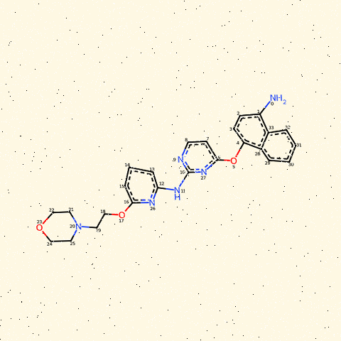 Nc1ccc(Oc2ccnc(Nc3cccc(OCCN4CCOCC4)n3)n2)c2ccccc12